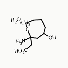 NC1(CC(=O)O)CCCCCC(O)C1.[CH2].[CH2]